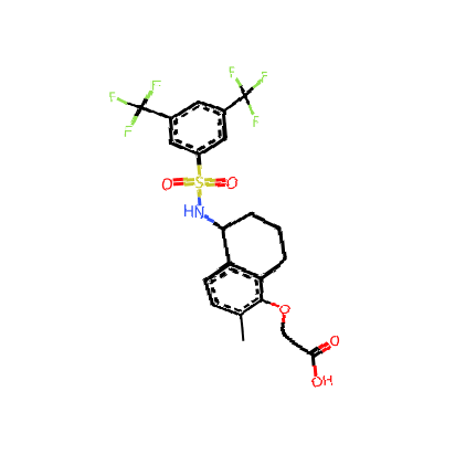 Cc1ccc2c(c1OCC(=O)O)CCCC2NS(=O)(=O)c1cc(C(F)(F)F)cc(C(F)(F)F)c1